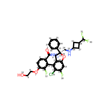 NC(=O)c1ccc(OCCO)c(F)c1-c1c(Cl)c(F)cc2c1C[C@@](CNC1CC(C(F)F)C1)(c1ccccc1)O2